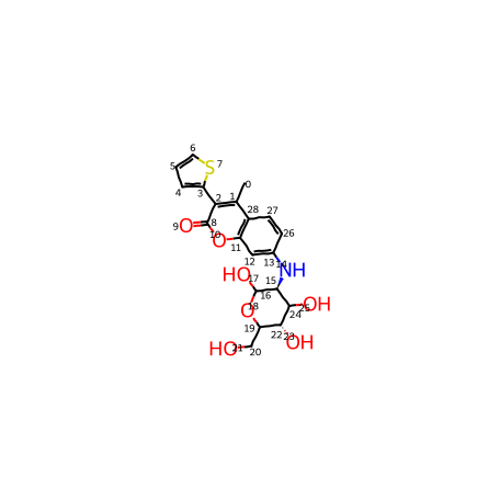 Cc1c(-c2cccs2)c(=O)oc2cc(N[C@@H]3C(O)OC(CO)[C@@H](O)C3O)ccc12